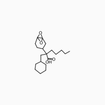 CCCCCC(CC1CCCCC1)(C(=O)O)C1CCC23OC2(C1)O3